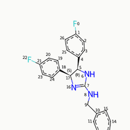 Fc1ccc([C@H]2NC(NCc3ccccc3)=N[C@H]2c2ccc(F)cc2)cc1